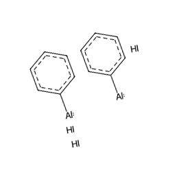 I.I.I.[Al][c]1ccccc1.[Al][c]1ccccc1